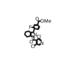 COC(=O)c1ccc(-c2nn(C(=O)c3c(Cl)cncc3Cl)c3c2CCCC3)c(F)c1